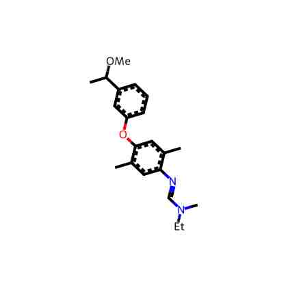 CCN(C)C=Nc1cc(C)c(Oc2cccc(C(C)OC)c2)cc1C